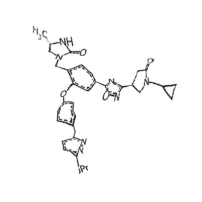 CC(C)c1ccc(-c2ccc(Oc3cc(-c4nc([C@H]5CC(=O)N(C6CC6)C5)no4)ccc3CN3C[C@H](C)NC3=O)cc2)nn1